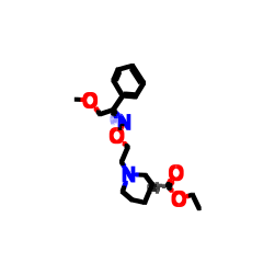 CCOC(=O)[C@@H]1CCCN(CCO/N=C(\COC)c2ccccc2)C1